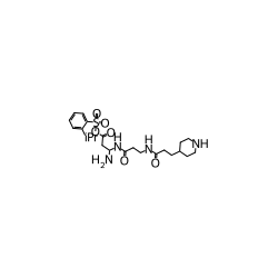 CC(C)c1ccccc1S(=O)(=O)OC(=O)CC(N)NC(=O)CCNC(=O)CCC1CCNCC1